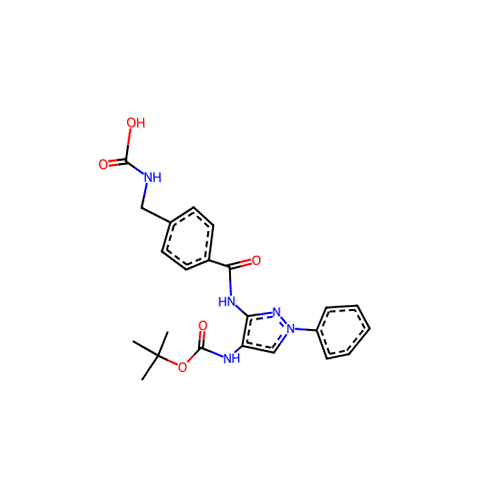 CC(C)(C)OC(=O)Nc1cn(-c2ccccc2)nc1NC(=O)c1ccc(CNC(=O)O)cc1